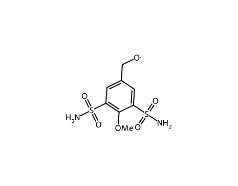 COc1c(S(N)(=O)=O)cc(C[O])cc1S(N)(=O)=O